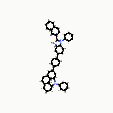 c1ccc(-n2c(-c3ccc4ccccc4c3)nc3cc(-c4ccc(-c5cc6ccc7cccc8c7c6c(c5)n8-c5ccccc5)cc4)ccc32)cc1